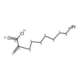 C=C(CCCCCCCC(C)C)C(=O)Cl